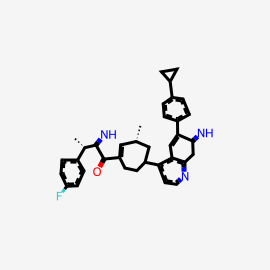 C[C@H](C(=N)C(=O)C1=C[C@H](C)CC(c2ccnc3c2C=C(c2ccc(C4CC4)cc2)C(=N)C3)CC1)c1ccc(F)cc1